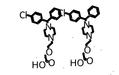 O=C(O)COCCN1CCN(C(c2ccccc2)c2ccc(Cl)cc2)CC1.O=C(O)COCCN1CCN(C(c2ccccc2)c2ccc(Cl)cc2)CC1